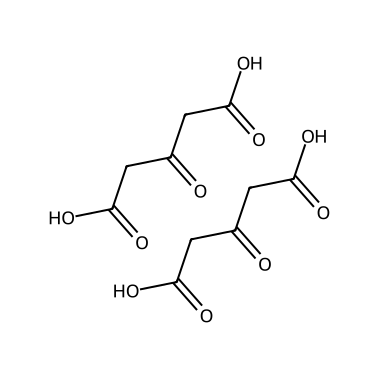 O=C(O)CC(=O)CC(=O)O.O=C(O)CC(=O)CC(=O)O